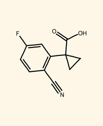 N#Cc1ccc(F)cc1C1(C(=O)O)CC1